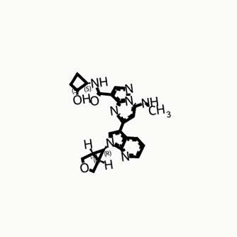 CNc1cc(-c2cn([C@H]3[C@@H]4COC[C@@H]43)c3ncccc23)nc2c(C(=O)N[C@H]3CC[C@@H]3O)cnn12